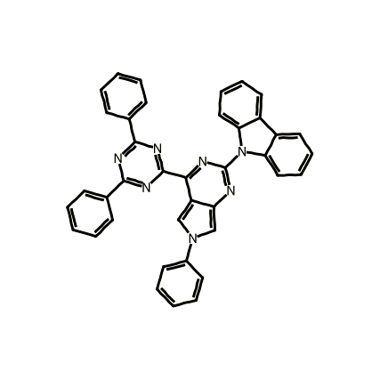 c1ccc(-c2nc(-c3ccccc3)nc(-c3nc(-n4c5ccccc5c5ccccc54)nc4cn(-c5ccccc5)cc34)n2)cc1